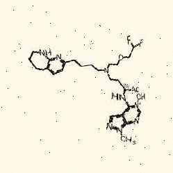 CC(=O)[C@H](CCN(CCCCc1ccc2c(n1)NCCC2)CCOCC(F)F)Nc1c2cnn(C)c2nc[n+]1O